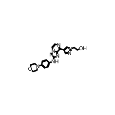 OCCn1cc(-c2nccn3nc(Nc4ccc(N5CCOCC5)cc4)nc23)cn1